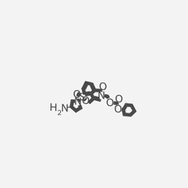 Cc1cn(COC(=O)OC2CCCCC2)c(=O)c2cccc(S(=O)(=O)N3CC[C@H](N)C3)c12